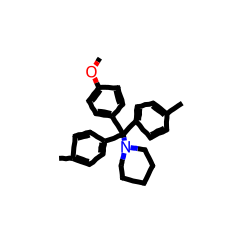 COc1ccc(C(c2ccc(C)cc2)(c2ccc(C)cc2)N2CCCCC2)cc1